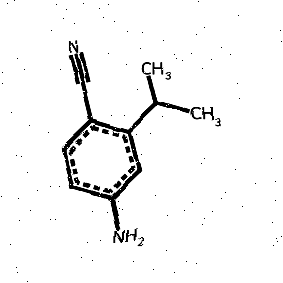 CC(C)c1cc(N)ccc1C#N